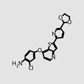 Nc1ccc(Oc2ccnc3cc(-c4ccc(C5OCCO5)cn4)sc23)cc1Cl